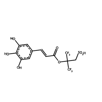 O=C(/C=C/c1cc(O)c(O)c(O)c1)OC(CS(=O)(=O)O)(C(F)(F)F)C(F)(F)F